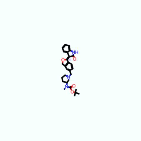 CN(C(=O)OC(C)(C)C)C1CCCN(Cc2ccc3c(c2)CO/C3=C2/C(=O)Nc3ccccc32)C1